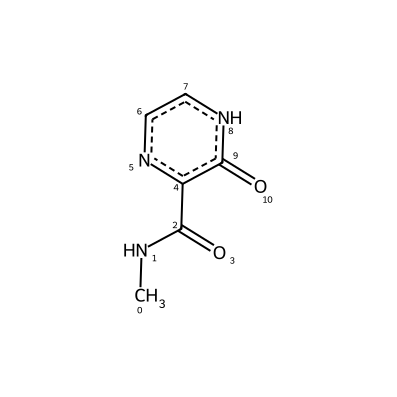 CNC(=O)c1ncc[nH]c1=O